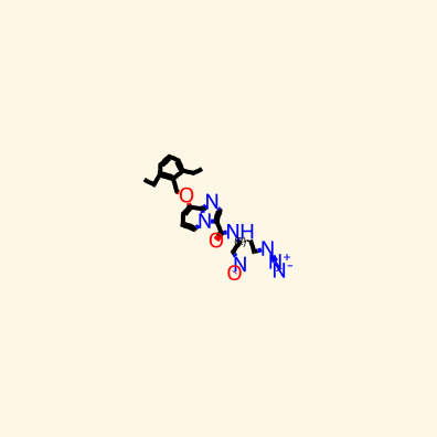 CCc1cccc(CC)c1COc1cccn2c(C(=O)N[C@H](CCN=[N+]=[N-])CN=O)cnc12